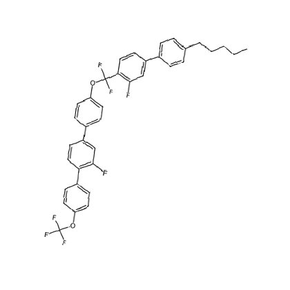 CCCCCc1ccc(-c2ccc(C(F)(F)Oc3ccc(-c4ccc(-c5ccc(OC(F)(F)F)cc5)c(F)c4)cc3)c(F)c2)cc1